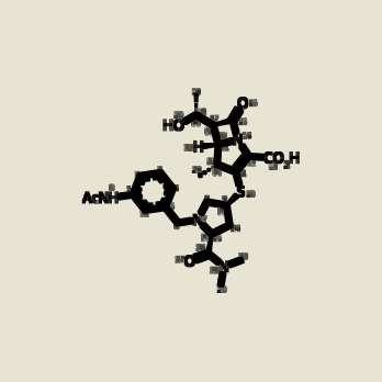 CC(=O)Nc1cccc(CN2C[C@@H](SC3=C(C(=O)O)N4C(=O)[C@H]([C@@H](C)O)[C@H]4[C@H]3C)C[C@H]2C(=O)N(C)C)c1